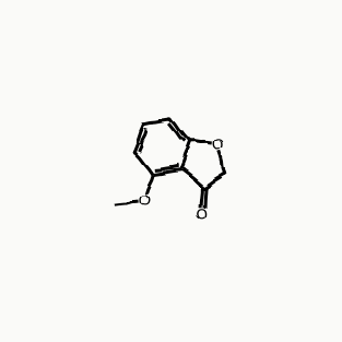 COc1cccc2c1C(=O)CO2